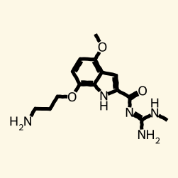 CNC(N)=NC(=O)c1cc2c(OC)ccc(OCCCN)c2[nH]1